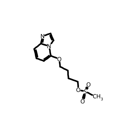 CS(=O)(=O)OCCCCOc1cccc2nccn12